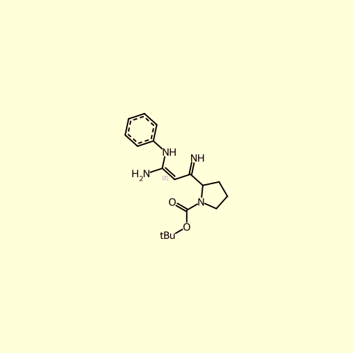 CC(C)(C)OC(=O)N1CCCC1C(=N)/C=C(/N)Nc1ccccc1